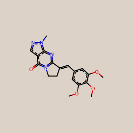 COc1cc(/C=C2\CCn3c2nc2c(cnn2C)c3=O)cc(OC)c1OC